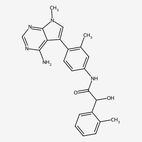 Cc1cc(NC(=O)C(O)c2ccccc2C)ccc1-c1cn(C)c2ncnc(N)c12